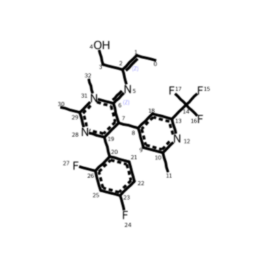 C/C=C(CO)\N=c1\c(-c2cc(C)nc(C(F)(F)F)c2)c(-c2ccc(F)cc2F)nc(C)n1C